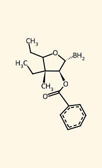 B[C@H]1OC(CC)[C@@](C)(CC)[C@@H]1OC(=O)c1ccccc1